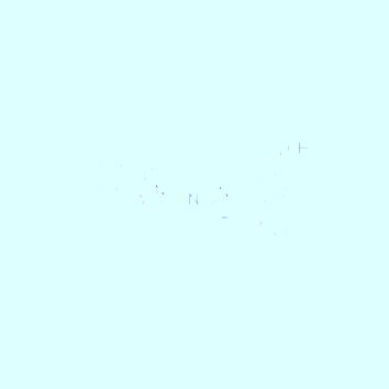 COc1ccc(OC)c(-c2csc(N3CCN(S(=O)(=O)c4ccc(F)cc4)CC3)n2)c1